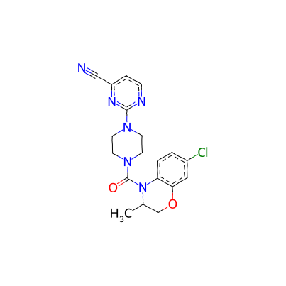 CC1COc2cc(Cl)ccc2N1C(=O)N1CCN(c2nccc(C#N)n2)CC1